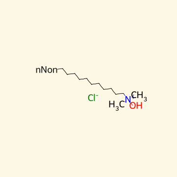 CCCCCCCCCCCCCCCCCCCC[N+](C)(C)O.[Cl-]